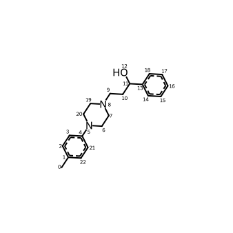 Cc1ccc(N2CCN(CCC(O)c3ccccc3)CC2)cc1